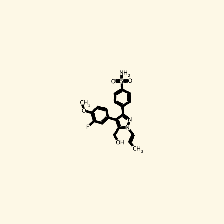 CC=Cn1nc(-c2ccc(S(N)(=O)=O)cc2)c(-c2ccc(OC)c(F)c2)c1CO